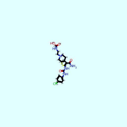 NC(=O)c1c(NC(=O)Nc2ccc(Cl)cc2)sc2c1CCN(CCNC(=O)O)C2